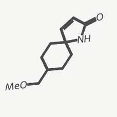 COCC1CCC2(C=CC(=O)N2)CC1